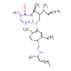 C=CC(C)C(COC1=C(C)C=CC(/C=N/N/C(C)=C\C)C(C)=C1)C(=C)N(N)C(=O)N(C)N